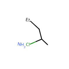 CCCC(C)Cl.N